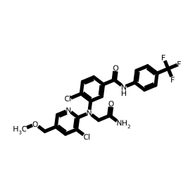 COCc1cnc(N(CC(N)=O)c2cc(C(=O)Nc3ccc(C(F)(F)F)cc3)ccc2Cl)c(Cl)c1